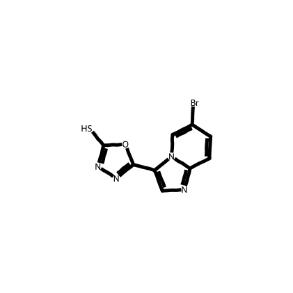 Sc1nnc(-c2cnc3ccc(Br)cn23)o1